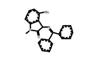 CN1C(=O)C(N=C(c2ccccc2)c2ccccc2)c2c1cccc2C(C)(C)C